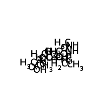 C=C(C)[C@@H]1CC[C@]2(NC(=O)NC)CC[C@]3(C)[C@H](CC[C@@H]4[C@@]5(C)CC[C@H](OC(=O)CC(C)(C)C(=O)O)C(C)(C)[C@@H]5CC[C@]43C)[C@@H]12